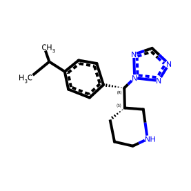 CC(C)c1ccc([C@@H]([C@H]2CCCNC2)n2ncnn2)cc1